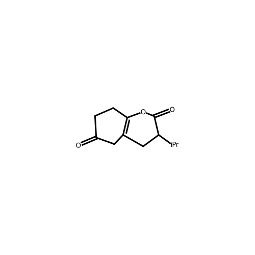 CC(C)C1CC2=C(CCC(=O)C2)OC1=O